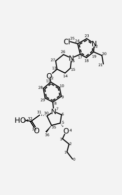 CCCCO[C@H]1CN(c2ccc(OC3CCN(c4cc(CC)ncc4Cl)CC3)cc2)[C@@H](CC(=O)O)[C@@H]1C